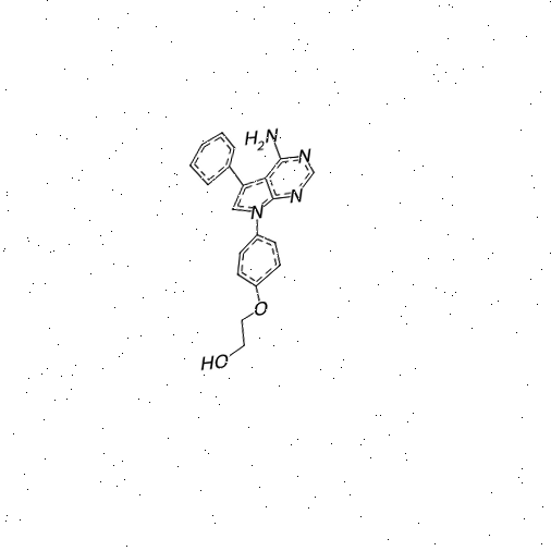 Nc1ncnc2c1c(-c1ccccc1)cn2-c1ccc(OCCO)cc1